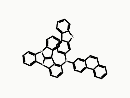 c1ccc2c(c1)ccc1cc(N(c3ccc4c(c3)sc3ccccc34)c3cccc4c3c3c5ccccc5n5c6ccccc6n4c35)ccc12